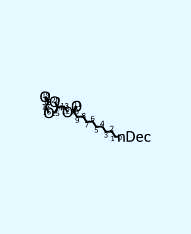 CCCCCCCCCCCCCCCCCCCC(=O)OCC1COCC(=O)O1